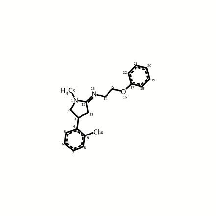 CN1CC(c2ccccc2Cl)CC1=NCCOc1ccccc1